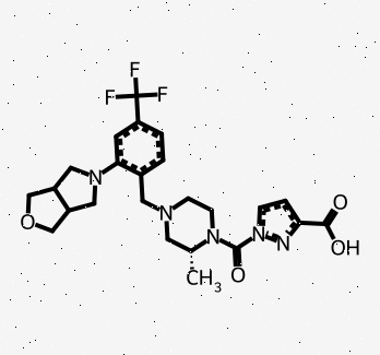 C[C@@H]1CN(Cc2ccc(C(F)(F)F)cc2N2CC3COCC3C2)CCN1C(=O)n1ccc(C(=O)O)n1